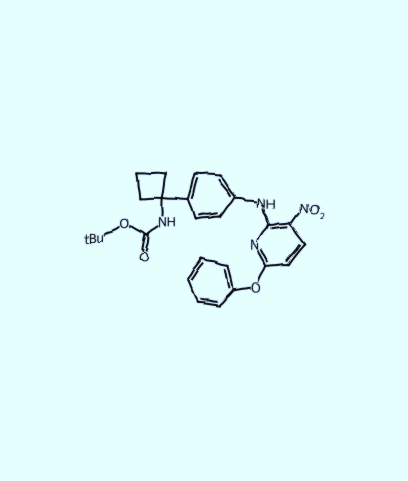 CC(C)(C)OC(=O)NC1(c2ccc(Nc3nc(Oc4ccccc4)ccc3[N+](=O)[O-])cc2)CCC1